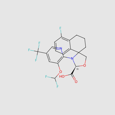 O=C(O)[C@@H]1OCC2(CCCc3c(F)cccc32)N1c1ncc(C(F)(F)F)cc1OC(F)F